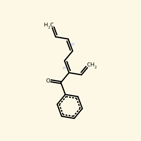 C=C/C=C\C=C(/C=C)C(=O)c1ccccc1